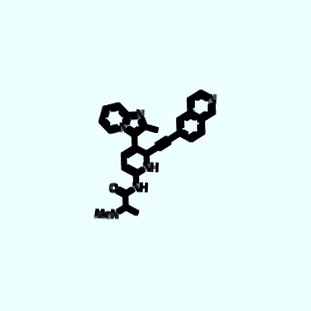 CNC(C)C(=O)NC1=CC=C(c2c(C)nc3ccccn23)C(C#Cc2ccc3cnccc3c2)N1